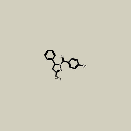 CC1=NN(C(=O)c2ccc(Br)cc2)C(c2ccccc2)C1